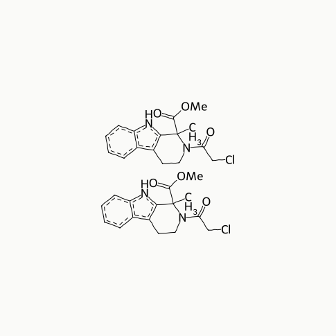 COC(=O)C1(C)c2[nH]c3ccccc3c2CCN1C(=O)CCl.COC(=O)C1(C)c2[nH]c3ccccc3c2CCN1C(=O)CCl